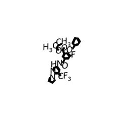 CC1(C)COC(c2cc(C(=O)Nc3cnc(N4CCCC4)c(C(F)(F)F)c3)cc(F)c2OCc2ccccc2)OC1